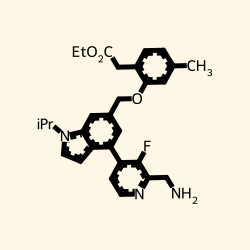 CCOC(=O)Cc1ccc(C)cc1OCc1cc(-c2ccnc(CN)c2F)c2ccn(C(C)C)c2c1